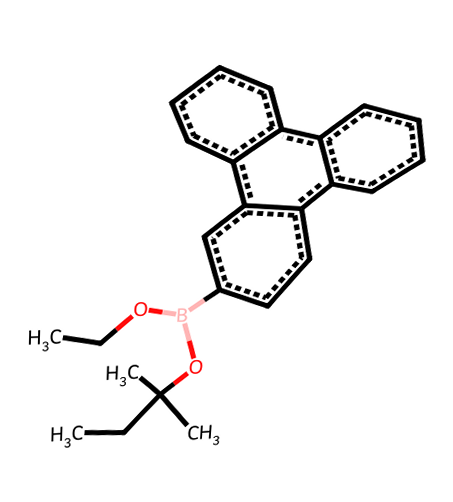 CCOB(OC(C)(C)CC)c1ccc2c3ccccc3c3ccccc3c2c1